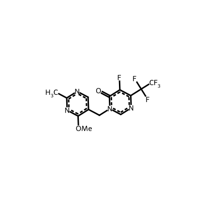 COc1nc(C)ncc1Cn1cnc(C(F)(F)C(F)(F)F)c(F)c1=O